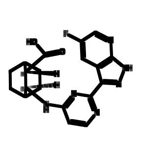 O=C(O)[C@H]1C2CCC(CC2)[C@@H]1Nc1ccnc(-c2n[nH]c3ncc(F)cc23)n1